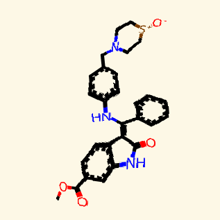 COC(=O)c1ccc2c(c1)NC(=O)C2=C(Nc1ccc(CN2CC[S+]([O-])CC2)cc1)c1ccccc1